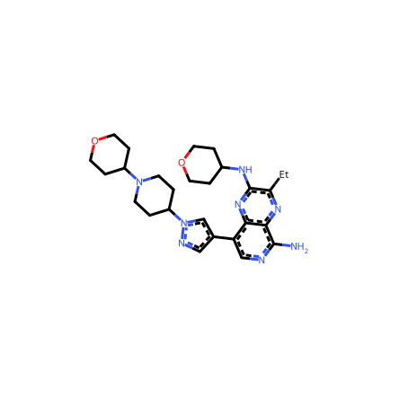 CCc1nc2c(N)ncc(-c3cnn(C4CCN(C5CCOCC5)CC4)c3)c2nc1NC1CCOCC1